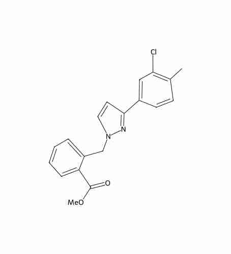 COC(=O)c1ccccc1Cn1ccc(-c2ccc(C)c(Cl)c2)n1